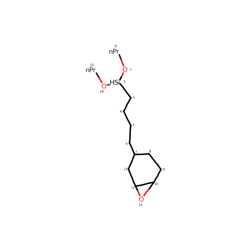 CCCO[SiH](CCCCC1CCC2OC2C1)OCCC